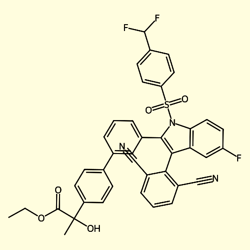 CCOC(=O)C(C)(O)c1ccc(-c2cccc(-c3c(-c4c(C#N)cccc4C#N)c4cc(F)ccc4n3S(=O)(=O)c3ccc(C(F)F)cc3)c2)cc1